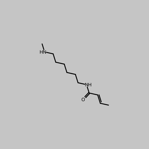 C/C=C/C(=O)NCCCCCCNC